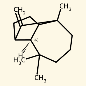 C=C1C2CCC3[C@H]2C(C)(C)CCCC13C